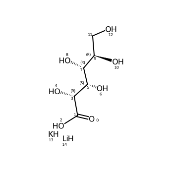 O=C(O)[C@H](O)[C@@H](O)[C@H](O)[C@H](O)CO.[KH].[LiH]